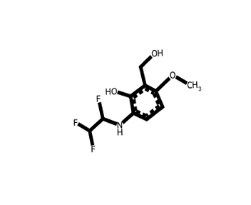 COc1ccc(NC(F)C(F)F)c(O)c1CO